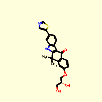 CC1(C)c2cc(OC[C@H](O)CO)ccc2C(=O)c2c1[nH]c1cc(-c3cncs3)ccc21